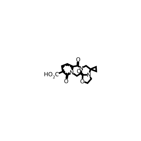 O=C(O)c1ccc2n(c1=O)CCN(CC1(N3CCOC3=O)CC1)C2=O